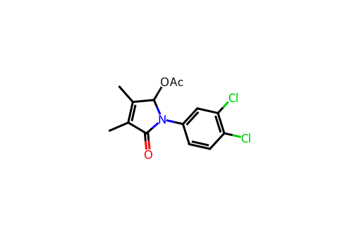 CC(=O)OC1C(C)=C(C)C(=O)N1c1ccc(Cl)c(Cl)c1